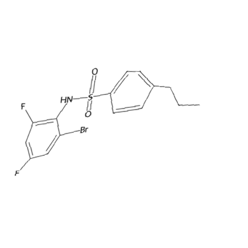 CCCc1ccc(S(=O)(=O)Nc2c(F)cc(F)cc2Br)cc1